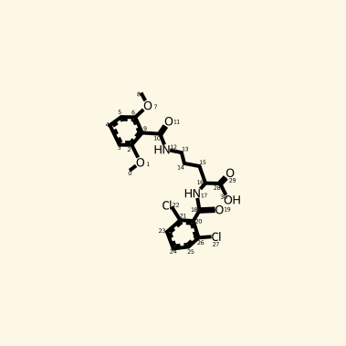 COc1cccc(OC)c1C(=O)NCCCC(NC(=O)c1c(Cl)cccc1Cl)C(=O)O